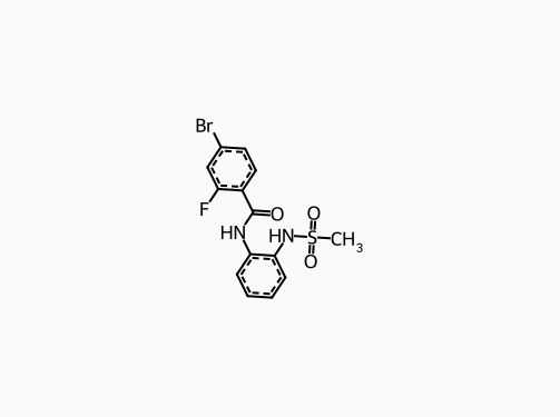 CS(=O)(=O)Nc1ccccc1NC(=O)c1ccc(Br)cc1F